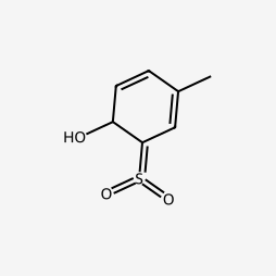 CC1=CC(=S(=O)=O)C(O)C=C1